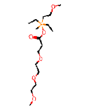 CCP(C)(CC)(CCOC)OC(=O)CCOCCOCCOC